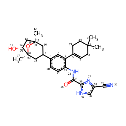 CC1(C)CC=C(c2cc(C3C[C@]4(C)C[C@@H](O)[C@](C)(C3)O4)ccc2NC(=O)c2nc(C#N)c[nH]2)CC1